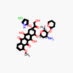 COc1cccc2c1C(=O)c1c(O)c3c(c(O)c1C2=O)C[C@@](O)(C(=O)CO)CC3O[C@H]1C[C@H](N)[C@H](O[C@@H]2CCCCO2)[C@H](C)O1.Cl.c1cc[nH]c1